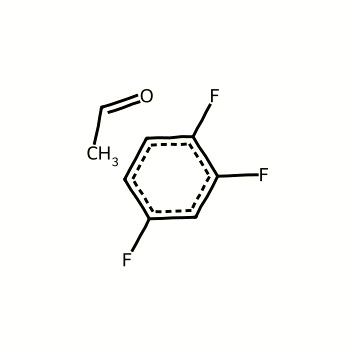 CC=O.Fc1ccc(F)c(F)c1